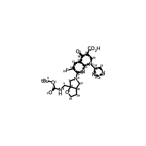 CC(C)(C)OC(=O)NCC12CN(c3nc4c(cc3F)c(=O)c(C(=O)O)cn4-c3cnsn3)CC1CCO2